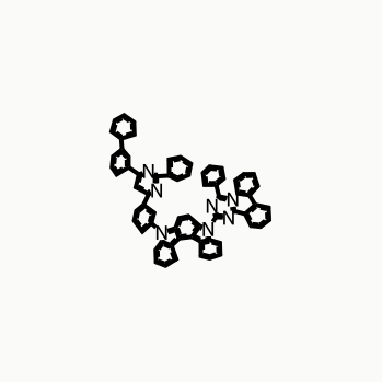 c1ccc(-c2cccc(-c3cc(-c4cccc(-n5c6ccccc6c6c7c8ccccc8n(-c8nc(-c9ccccc9)nc(-c9ccccc9-c9ccccc9)n8)c7ccc65)c4)nc(-c4ccccc4)n3)c2)cc1